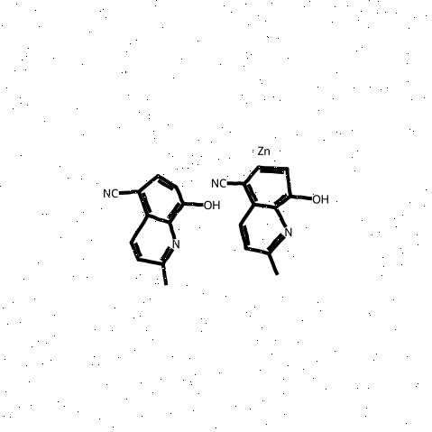 Cc1ccc2c(C#N)ccc(O)c2n1.Cc1ccc2c(C#N)ccc(O)c2n1.[Zn]